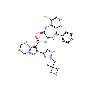 CC1(Cn2cc(-c3nn4c(c3C(=O)N[C@H]3N=C(c5ccccc5)c5cccc(F)c5NC3=O)OCCC4)cn2)COC1